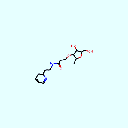 CC1OC(CO)C(O)C1OCCC(=O)NCCc1ccccn1